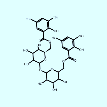 CC(C)(C)c1cc(C(=O)OCC2OC(OC3O[C@H](COC(=O)c4cc(C(C)(C)C)cc(C(C)(C)C)c4O)C(O)C(O)C3O)C(O)C(O)C2O)c(O)c(C(C)(C)C)c1